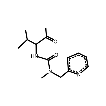 CC(=O)C(NC(=O)N(C)Cc1ccccn1)C(C)C